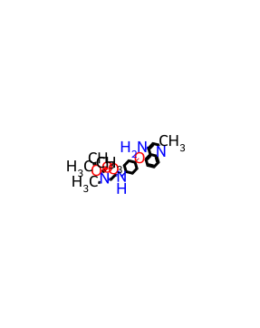 CCN(CC(=O)N[C@H]1CC[C@H](Oc2cccc3nc(C)cc(N)c23)CC1)C(=O)OC(C)(C)C